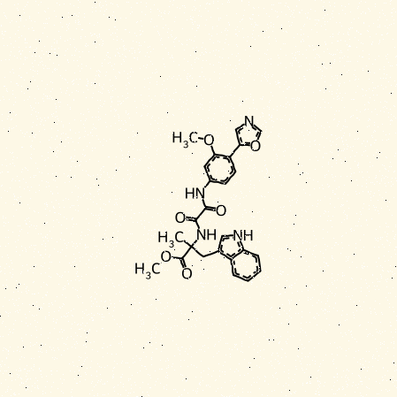 COC(=O)C(C)(Cc1c[nH]c2ccccc12)NC(=O)C(=O)Nc1ccc(-c2cnco2)c(OC)c1